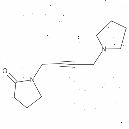 O=C1[CH]CCN1CC#CCN1CCCC1